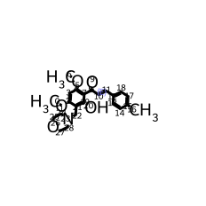 COc1cc(OC)c(C(=O)/C=C/c2ccc(C)cc2)c(O)c1CN1CCOCC1